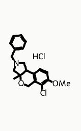 COc1ccc2c(c1Cl)COC1(C)CN(Cc3ccccc3)CC21.Cl